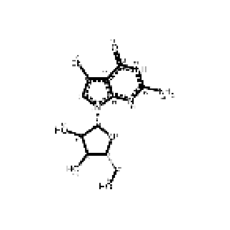 CCc1cn([C@@H]2O[C@H](CO)C(O)C2O)c2nc(N)[nH]c(=O)c12